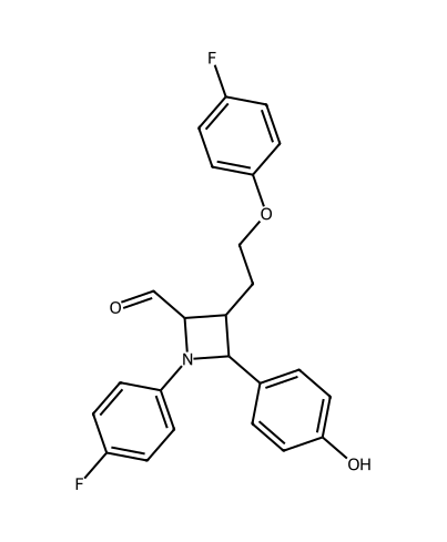 O=CC1C(CCOc2ccc(F)cc2)C(c2ccc(O)cc2)N1c1ccc(F)cc1